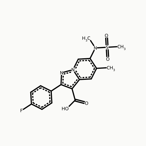 Cc1cc2c(C(=O)O)c(-c3ccc(F)cc3)nn2cc1N(C)S(C)(=O)=O